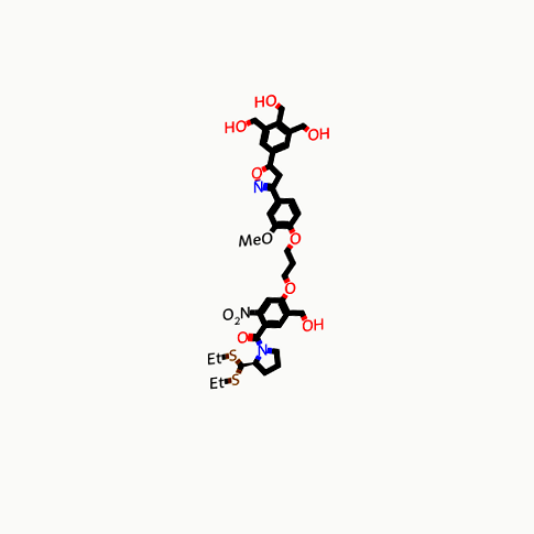 CCSC(SCC)[C@@H]1CCCN1C(=O)c1cc(CO)c(OCCCOc2ccc(C3=NOC(c4cc(CO)c(CO)c(CO)c4)C3)cc2OC)cc1[N+](=O)[O-]